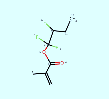 C=C(C)C(=O)OC(F)(F)C(F)CC(F)(F)F